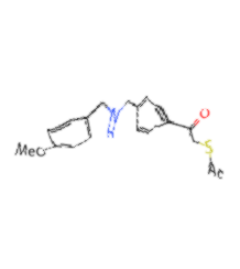 COc1ccc(CNCc2ccc(C(=O)CSC(C)=O)cc2)cc1